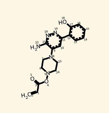 C=CC(=O)ON1CCN(c2cc(-c3ccccc3O)nnc2N)CC1